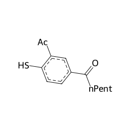 CCCCCC(=O)c1ccc(S)c(C(C)=O)c1